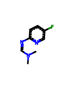 CN(C)/C=N\c1ccc(F)cn1